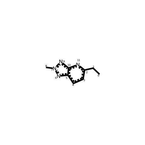 CCc1ccc2nn(C)nc2n1